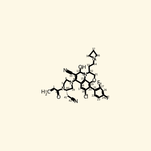 C=CC(=O)N1CCN(C2=C(C#N)C(O)N3c4c2cc(Cl)c(-c2ccc(F)cc2F)c4OCC3CCN2CCC2)C[C@@H]1CC#N